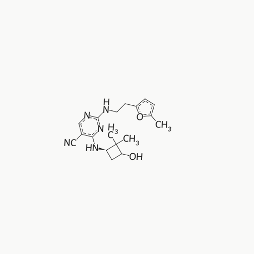 Cc1ccc(CCNc2ncc(C#N)c(N[C@@H]3CC(O)C3(C)C)n2)o1